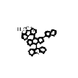 CC1(C)c2ccccc2-c2c(-c3c4ccccc4c(-c4c5ccccc5nc5ccccc45)c4ccc(-c5ccc6ccccc6c5)cc34)cccc21